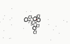 CC(C)(c1ccccc1)C(SC(c1ccc(Cl)cc1Cl)C(C)(C)c1ccccc1)c1ccc(Cl)cc1Cl